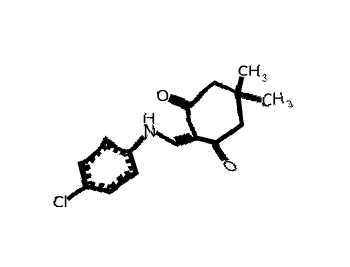 CC1(C)CC(=O)C(=CNc2ccc(Cl)cc2)C(=O)C1